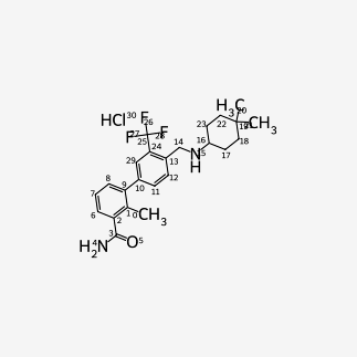 Cc1c(C(N)=O)cccc1-c1ccc(CNC2CCC(C)(C)CC2)c(C(F)(F)F)c1.Cl